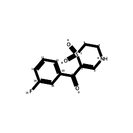 O=C(C1=CNCCS1(=O)=O)c1cccc(F)c1